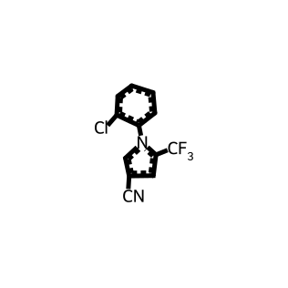 N#Cc1cc(C(F)(F)F)n(-c2ccccc2Cl)c1